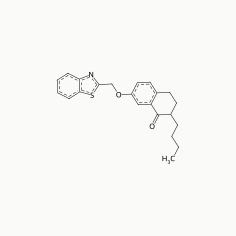 CCCCC1CCc2ccc(OCc3nc4ccccc4s3)cc2C1=O